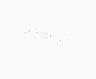 C=CC(=O)Nc1cccc(-c2ccc3c(Cc4c(F)c(OC)cc(OC)c4F)c[nH]c3n2)c1